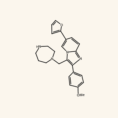 COc1ccc(-c2nc3ccc(-c4ccco4)cn3c2CN2CCCNCC2)cc1